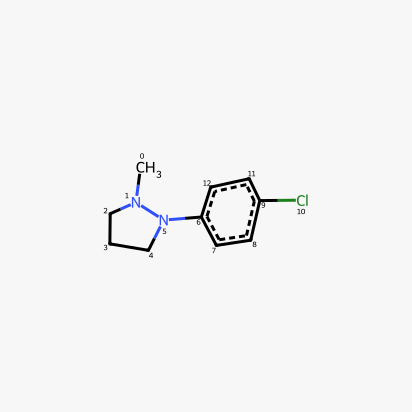 CN1CCCN1c1ccc(Cl)cc1